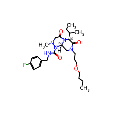 CCCCOCCCN1C[C@H]2N(C(=O)CN(C)N2C(=O)NCc2ccc(F)cc2)[C@@H](C(C)CC)C1=O